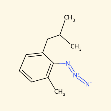 Cc1cccc(CC(C)C)c1N=[N+]=[N-]